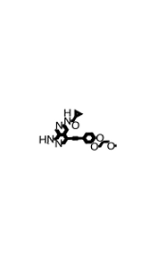 CNc1ncc(C#Cc2ccc3c(c2)OCC(COC)O3)c2cc(NC(=O)C3CC3)ncc12